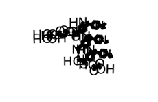 CC(C)N1CCC(c2c[nH]c3cc([N+](=O)[O-])ccc23)CC1.CCN1CCC(c2c[nH]c3cc(C#N)ccc23)CC1.CCN1CCC(c2c[nH]c3cc(C(=O)NO)ccc23)CC1.O=C(O)/C=C\C(=O)O.O=C(O)C(=O)O.O=P(O)(O)O